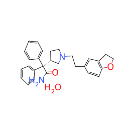 NC(=O)C(c1ccccc1)(c1ccccc1)[C@@H]1CCN(CCc2ccc3c(c2)CCO3)C1.O